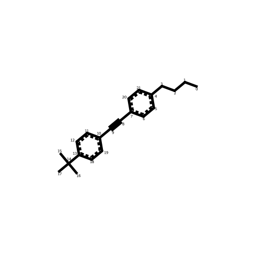 CCCCc1ccc(C#Cc2ccc(C(C)(C)C)cc2)cc1